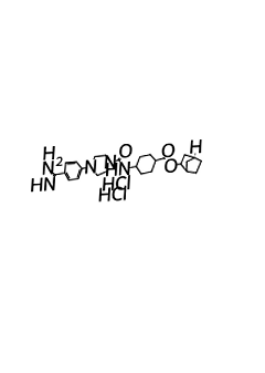 Cl.Cl.N=C(N)c1ccc(N2CCN(C(=O)NC3CCC(C(=O)O[C@H]4C[C@H]5CCC4C5)CC3)CC2)cc1